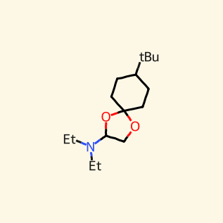 CCN(CC)C1COC2(CCC(C(C)(C)C)CC2)O1